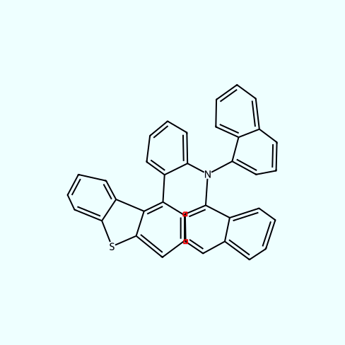 c1ccc(N(c2cccc3ccccc23)c2cccc3ccccc23)c(-c2cccc3sc4ccccc4c23)c1